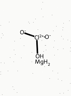 [MgH2].[O-][Cl+2]([O-])O